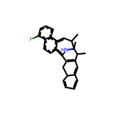 CC1C=c2c(ccc3c(F)cccc23)=C2NC1(C)C(C)C1=C2CC2C=CC=CC2=C1